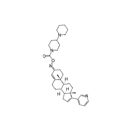 C[C@]12CCC(=NOC(=O)N3CCC(N4CCCCC4)CC3)C=C1CC[C@H]1[C@@H]2CC[C@]2(C)C(c3cccnc3)=CC[C@@H]12